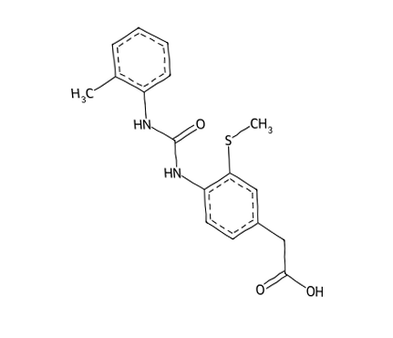 CSc1cc(CC(=O)O)ccc1NC(=O)Nc1ccccc1C